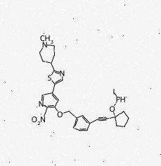 CN1CCC(c2ncc(-c3cnc([N+](=O)[O-])c(OCc4cccc(C#CC5(OPI)CCCC5)c4)c3)s2)CC1